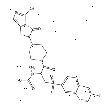 Cc1ncc2n1C(=O)N(C1CCN(C(=O)C(CS(=O)(=O)c3ccc4cc(Cl)ccc4c3)N(C)C(=O)O)CC1)C2